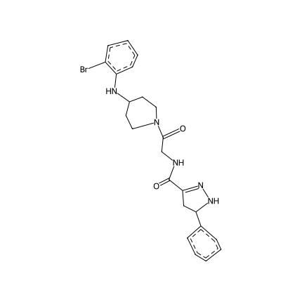 O=C(NCC(=O)N1CCC(Nc2ccccc2Br)CC1)C1=NNC(c2ccccc2)C1